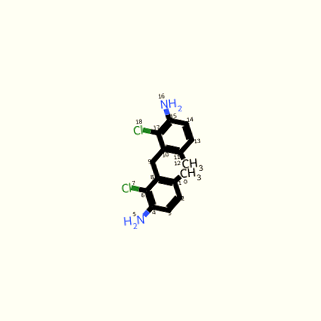 Cc1ccc(N)c(Cl)c1Cc1c(C)ccc(N)c1Cl